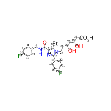 CCc1c(C(=O)NCc2ccc(F)cc2)nc(-c2ccc(F)cc2)n1CC[C@@H](O)C[C@@H](O)CC(=O)O